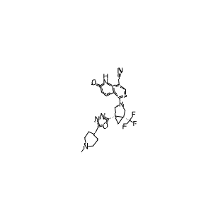 CN1CCC(c2nnc([C@]34CN(c5ccc(C#N)c6[nH]c(=O)ccc56)C[C@@]3(C(F)(F)F)C4)o2)CC1